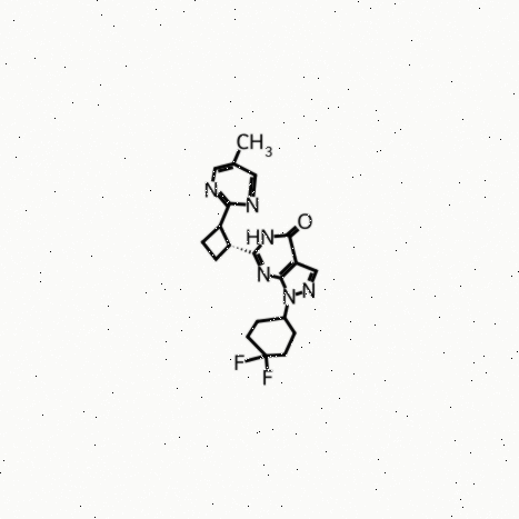 Cc1cnc(C2CC[C@H]2c2nc3c(cnn3C3CCC(F)(F)CC3)c(=O)[nH]2)nc1